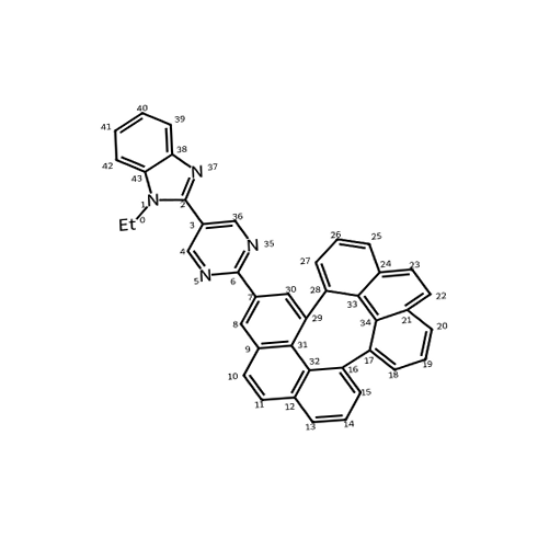 CCn1c(-c2cnc(-c3cc4ccc5cccc6c7cccc8ccc9cccc(c(c3)c4c56)c9c87)nc2)nc2ccccc21